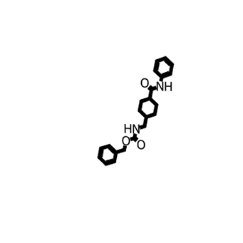 O=C(NCC1CCC(C(=O)Nc2ccccc2)CC1)OCc1ccccc1